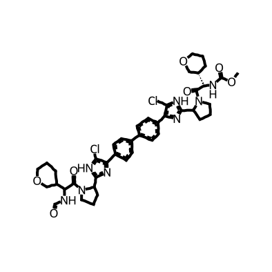 COC(=O)NC(C(=O)N1CCCC1c1nc(-c2ccc(-c3ccc(-c4nc(C5CCCN5C(=O)C(NC=O)C5CCCOC5)[nH]c4Cl)cc3)cc2)c(Cl)[nH]1)[C@H]1CCCOC1